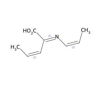 C\C=C/N=C(\C=C/C)C(=O)O